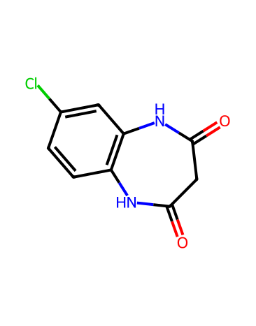 O=C1CC(=O)Nc2cc(Cl)ccc2N1